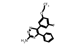 Nc1nnc(-c2cc(F)cc(OCC(F)(F)F)c2)c(-c2ccccc2)n1